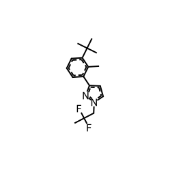 Cc1c(-c2ccn(CC(C)(F)F)n2)cccc1C(C)(C)C